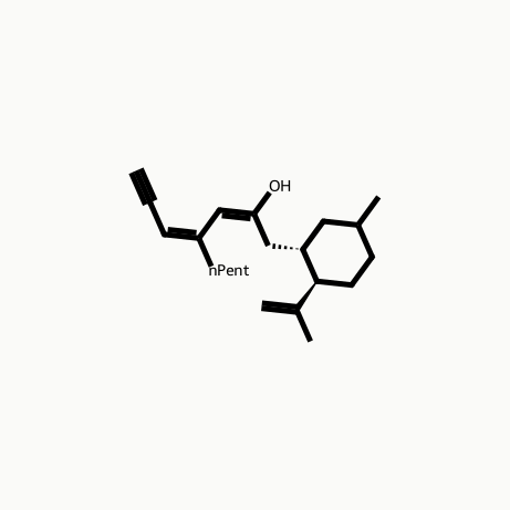 C#C/C=C(\C=C(\O)C[C@@H]1CC(C)CC[C@H]1C(=C)C)CCCCC